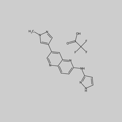 Cn1cc(-c2cnc3ccc(Nc4cc[nH]n4)nc3c2)cn1.O=C(O)C(F)(F)F